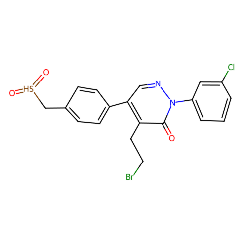 O=c1c(CCBr)c(-c2ccc(C[SH](=O)=O)cc2)cnn1-c1cccc(Cl)c1